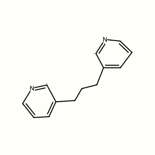 [c]1ncccc1CCCc1[c]nccc1